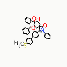 CSc1ccc(-c2ccc([C@H]3N(c4ccccc4)C(=O)C34CCC(O)(c3ccccc3)CC4)c(OCc3ccccc3)c2)cc1